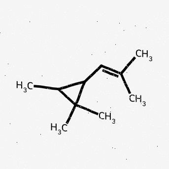 CC(C)=CC1C(C)C1(C)C